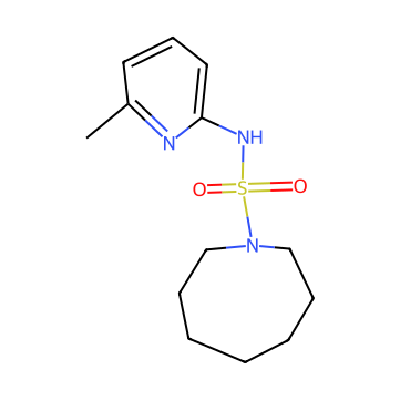 Cc1cccc(NS(=O)(=O)N2CCCCCCC2)n1